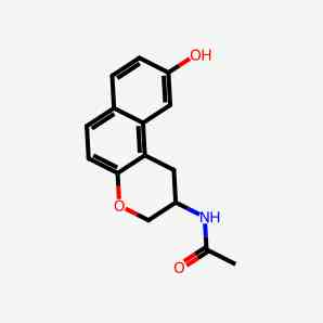 CC(=O)NC1COc2ccc3ccc(O)cc3c2C1